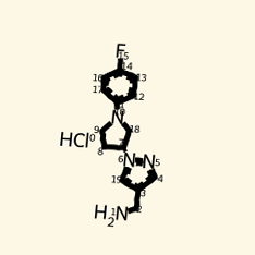 Cl.NCc1cnn([C@H]2CCN(c3ccc(F)cc3)C2)c1